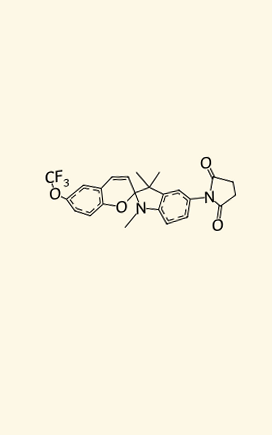 CN1c2ccc(N3C(=O)CCC3=O)cc2C(C)(C)C12C=Cc1cc(OC(F)(F)F)ccc1O2